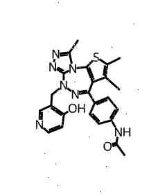 CC(=O)Nc1ccc(C2=NN(Cc3cnccc3O)c3nnc(C)n3-c3sc(C)c(C)c32)cc1